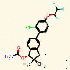 CC1(C)Cc2cc(-c3ccc(OC(F)C(F)F)cc3Cl)ccc2[C@@H]1OC(N)=O